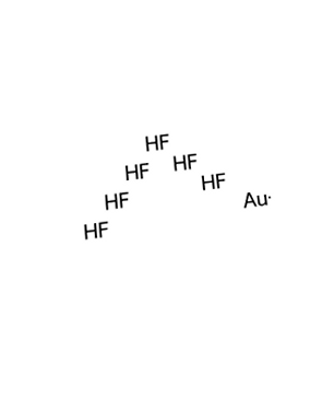 F.F.F.F.F.F.[Au]